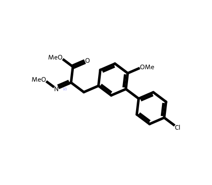 CO/N=C(/Cc1ccc(OC)c(-c2ccc(Cl)cc2)c1)C(=O)OC